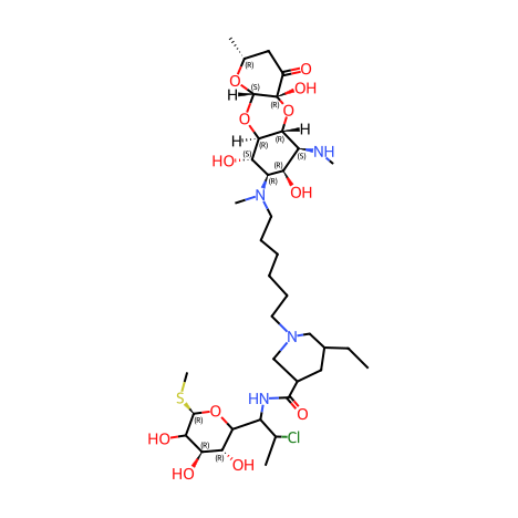 CCC1CC(C(=O)NC(C(C)Cl)C2O[C@H](SC)C(O)[C@H](O)[C@H]2O)CN(CCCCCCN(C)[C@@H]2[C@H](O)[C@H](NC)[C@H]3O[C@@]4(O)C(=O)C[C@@H](C)O[C@H]4O[C@@H]3[C@H]2O)C1